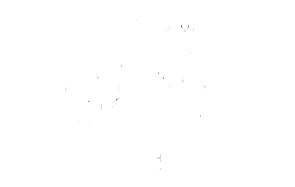 COC(=O)[C@H]1C[C@H](O[Si](C)(C)C(C)(C)C)[C@@H](CCO)N1C(=O)C1CC1